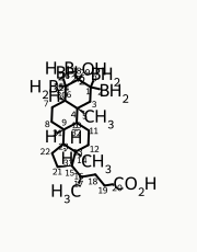 BC1(B)C[C@@]2(C)[C@H](CC[C@@H]3[C@@H]2CC[C@]2(C)[C@@H]([C@H](C)CCC(=O)O)CC[C@@H]32)C(B)(B)C1(B)O